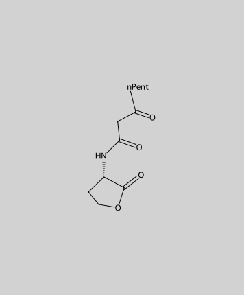 CCCCCC(=O)CC(=O)N[C@H]1CCOC1=O